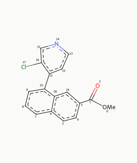 COC(=O)c1ccc2cccc(-c3ccncc3Cl)c2c1